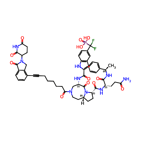 C[C@@H](NC(=O)[C@H](CCC(N)=O)NC(=O)[C@@H]1CC[C@@H]2CCN(C(=O)CCCCCC#Cc3cccc4c3CN(C3CCC(=O)NC3=O)C4=O)C[C@H](NC(=O)c3cc4cc(C(F)(F)P(=O)(O)O)ccc4[nH]3)C(=O)N21)c1ccccc1